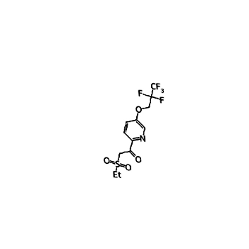 CCS(=O)(=O)CC(=O)c1ccc(OCC(F)(F)C(F)(F)F)cn1